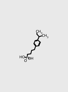 CCC(C)c1ccc(CCCCP(=O)(O)O)cc1